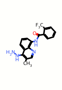 Cc1cnc2c(NC(=O)c3ccccc3C(F)(F)F)cccc2c1NN